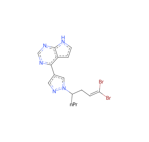 CCCC(CC=C(Br)Br)n1cc(-c2ncnc3[nH]ccc23)cn1